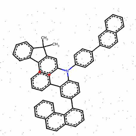 CC1(C)c2ccccc2-c2ccc(N(c3ccc(-c4ccc5ccccc5c4)cc3)c3ccc(-c4cccc5ccc6ccccc6c45)cc3-c3ccccc3)cc21